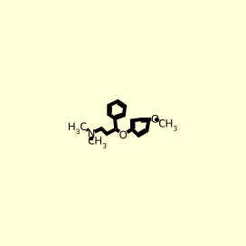 COc1ccc(OC(CCN(C)C)c2ccccc2)cc1